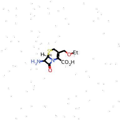 CCOCC1=C(C(=O)O)N2C(=O)C(N)[C@H]2SC1